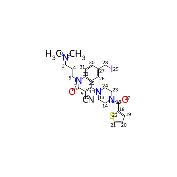 CN(C)CCCn1c(=O)c(C#N)c(N2CCN(C(=O)c3cccs3)CC2)c2cc(CI)ccc21